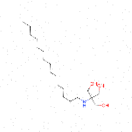 CCCCCCCCCCCCCC(C)CNC(CO)(CO)CO